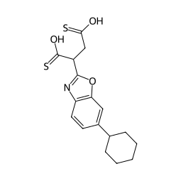 OC(=S)CC(C(O)=S)c1nc2ccc(C3CCCCC3)cc2o1